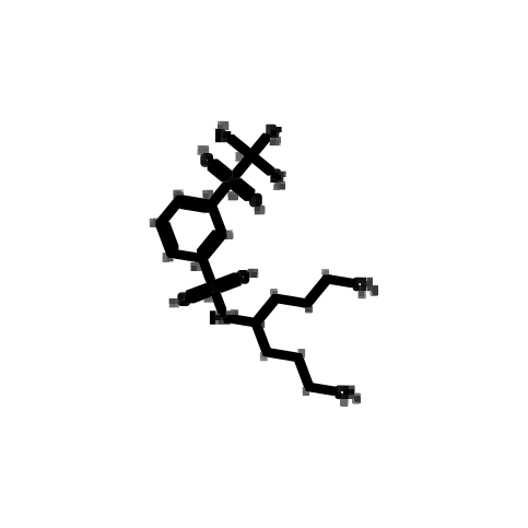 CCCCC(CCCC)NS(=O)(=O)c1cccc(S(=O)(=O)C(Br)(Br)Br)c1